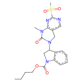 CCCCOC(=O)N1CC(N2Cc3cnc(S(C)(=O)=O)nc3N(C)C2=O)c2ccccc21